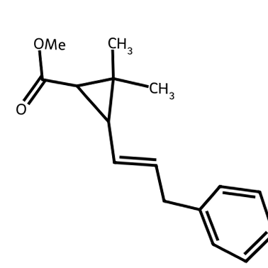 COC(=O)C1C(C=CCc2ccccc2)C1(C)C